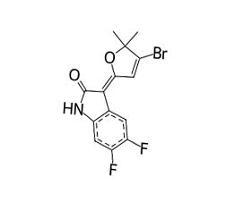 CC1(C)OC(=C2C(=O)Nc3cc(F)c(F)cc32)C=C1Br